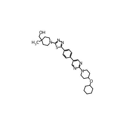 CC1(CO)CCN(c2nnc(-c3ccc(-c4cnc(N5CCC(OC6CCCCC6)CC5)nc4)cc3)s2)CC1